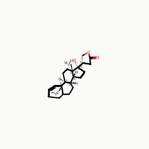 C[C@]12C=CCCC1CC[C@H]1[C@H]3CC[C@](O)([C@@H]4COC(=O)C4)[C@@]3(C)CC[C@@H]12